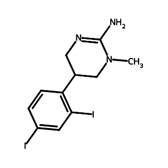 CN1CC(c2ccc(I)cc2I)CN=C1N